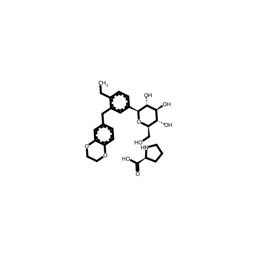 CCc1ccc([C@@H]2O[C@H](CO)[C@@H](O)[C@H](O)[C@H]2O)cc1Cc1ccc2c(c1)OCCO2.O=C(O)[C@@H]1CCCN1